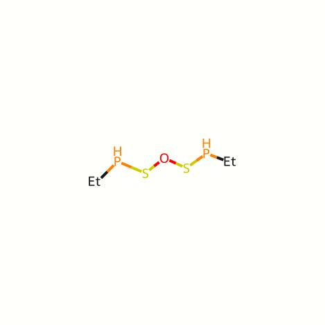 CCPSOSPCC